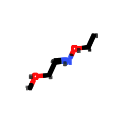 CCON=CCOC